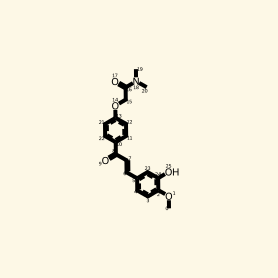 COc1ccc(/C=C/C(=O)c2ccc(OCC(=O)N(C)C)cc2)cc1O